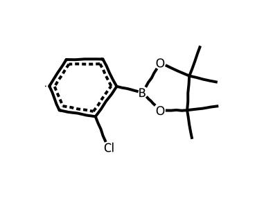 CC1(C)OB(c2cc[c]cc2Cl)OC1(C)C